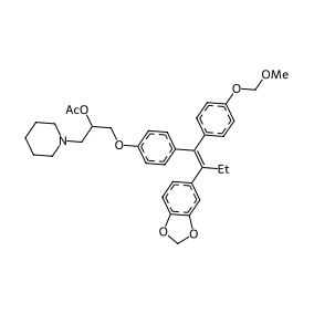 CC/C(=C(\c1ccc(OCOC)cc1)c1ccc(OCC(CN2CCCCC2)OC(C)=O)cc1)c1ccc2c(c1)OCO2